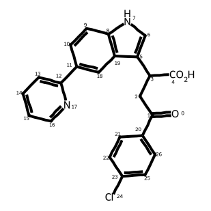 O=C(CC(C(=O)O)c1c[nH]c2ccc(-c3ccccn3)cc12)c1ccc(Cl)cc1